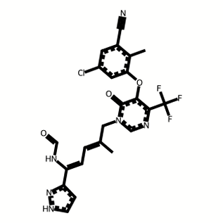 C/C(=C\C=C(/NC=O)c1cc[nH]n1)Cn1cnc(C(F)(F)F)c(Oc2cc(Cl)cc(C#N)c2C)c1=O